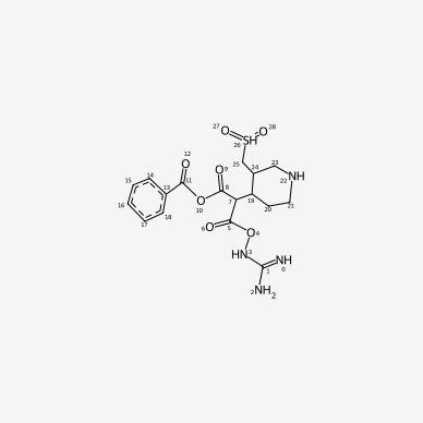 N=C(N)NOC(=O)C(C(=O)OC(=O)c1ccccc1)C1CCNCC1C[SH](=O)=O